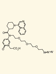 [N-]=[N+]=NCCOCCOCCOCCN(C(=O)C1CCCN(c2cncc3ccccc23)C1)c1ccc(=O)n(CC(=O)O)c1